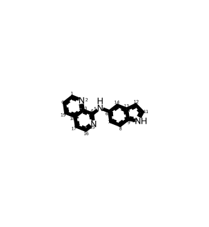 c1cnc2c(Nc3ccc4[nH]ccc4c3)nccc2c1